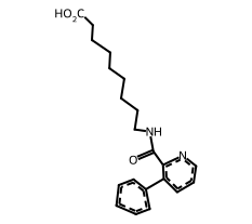 O=C(O)CCCCCCCCNC(=O)c1ncccc1-c1ccccc1